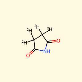 [2H]C1([2H])C(=O)NC(=O)C1([2H])[2H]